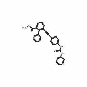 COC(=O)c1cccc(C#Cc2ccc(NC(=O)Nc3cccnc3)cc2)c1-c1ccccc1